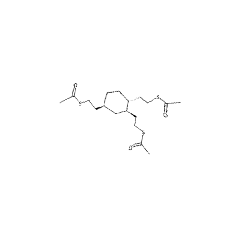 CC(=O)SCC[C@H]1CC[C@H](CCSC(C)=O)[C@@H](CCSC(C)=O)C1